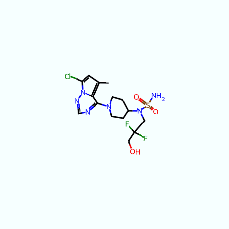 Cc1cc(Cl)n2ncnc(N3CCC(N(CC(F)(F)CO)S(N)(=O)=O)CC3)c12